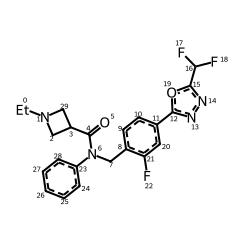 CCN1CC(C(=O)N(Cc2ccc(-c3nnc(C(F)F)o3)cc2F)c2ccccc2)C1